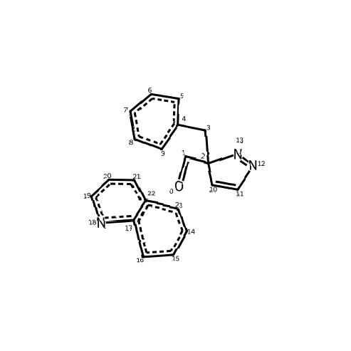 O=CC1(Cc2ccccc2)C=CN=N1.c1ccc2ncccc2c1